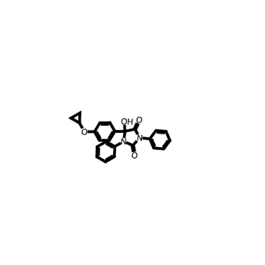 O=C1N(c2ccccc2)C(=O)C(O)(c2ccc(OC3CC3)cc2)N1c1ccccc1